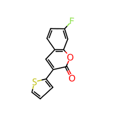 O=c1oc2cc(F)ccc2cc1-c1cccs1